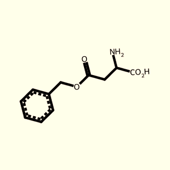 NC(CC(=O)OCc1ccccc1)C(=O)O